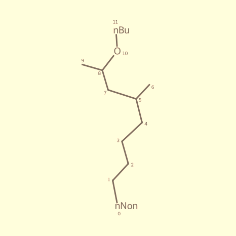 CCCCCCCCCCCCCC(C)CC(C)OCCCC